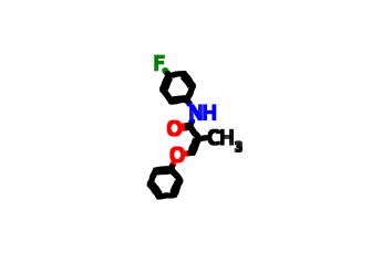 CC(=COc1ccccc1)C(=O)Nc1ccc(F)cc1